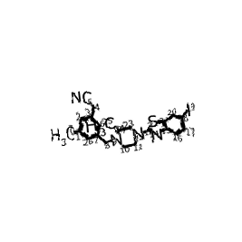 Cc1cc(CC#N)cc(CN2CCN(c3nc4ccc(I)cc4s3)C[C@H]2C)c1